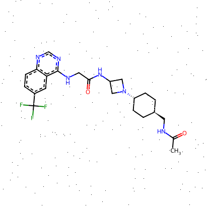 CC(=O)NC[C@H]1CC[C@H](N2CC(NC(=O)CNc3ncnc4ccc(C(F)(F)F)cc34)C2)CC1